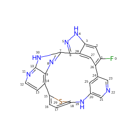 Fc1cc2[nH]nc3c4nc5c(nccc5c5ccc([nH]c6cncc(c6)c1cc23)s5)[nH]4